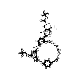 CC(C)(C)OC(=O)NC[C@H](NC(=O)c1ccc2cc1OCCCCCCOc1ccc(cc1)CNc1nc(nc(OCC(F)(F)F)n1)N2)C(N)=O